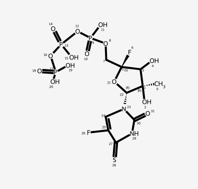 C[C@@]1(O)C(O)[C@@](F)(COP(=O)(O)OP(=O)(O)OP(=O)(O)O)O[C@H]1n1cc(F)c(=S)[nH]c1=O